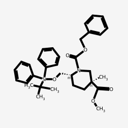 COC(=O)[C@@]1(C)CC[C@H](CO[Si](c2ccccc2)(c2ccccc2)C(C)(C)C)N(C(=O)OCc2ccccc2)C1